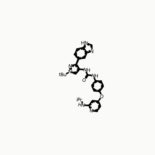 CC(C)Nc1cc(Oc2ccc(NC(=O)Nc3cn(C(C)(C)C)nc3-c3ccc4[nH]cnc4c3)cc2)ccn1